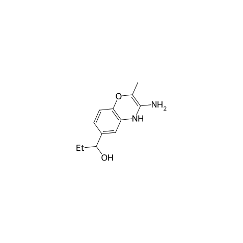 CCC(O)c1ccc2c(c1)NC(N)=C(C)O2